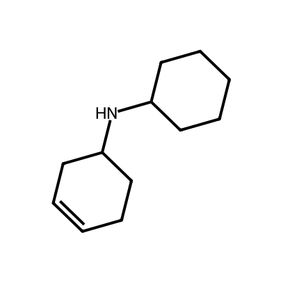 C1=CCC(NC2CCCCC2)CC1